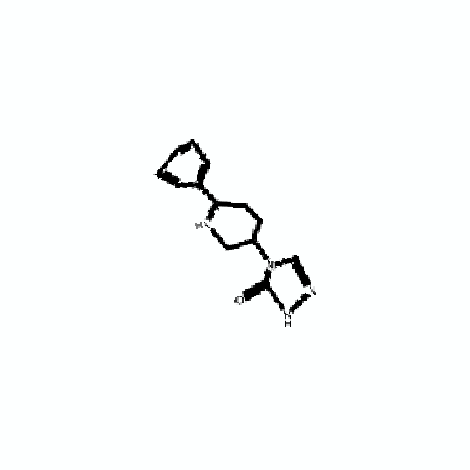 O=c1[nH]ncn1C1CCC(c2ccccc2)NC1